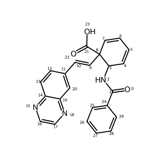 O=C(NC1C=CC=CC1(C=Cc1ccc2nccnc2c1)C(=O)O)c1ccccc1